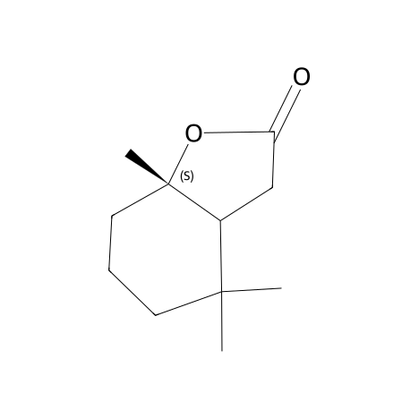 CC1(C)CCC[C@]2(C)OC(=O)CC12